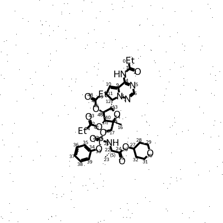 CCC(=O)NC1=NC=NN2C1=CCC2[C@@H]1O[C@](C)(COP(=O)(N[C@@H](C)C(=O)OC2CCOCC2)Oc2ccccc2)[C@@H](OC(=O)CC)[C@H]1OC(=O)CC